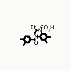 CCC1CN(C(=O)c2ccc(C)c(C)c2)c2cc(C)c(C)cc2N1C(=O)O